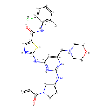 C=CC(=O)N1CC[C@H](Nc2nc(CN3CCOCC3)cc(Nc3ncc(C(=O)Nc4c(C)cccc4Cl)s3)n2)C1